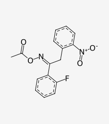 CC(=O)ON=C(Cc1ccccc1[N+](=O)[O-])c1ccccc1F